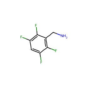 NCc1c(F)c(F)[c]c(F)c1F